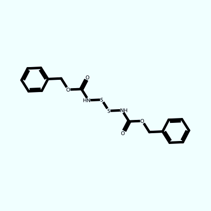 O=C(NSSNC(=O)OCc1ccccc1)OCc1ccccc1